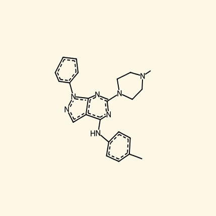 Cc1ccc(Nc2nc(N3CCN(C)CC3)nc3c2cnn3-c2ccccc2)cc1